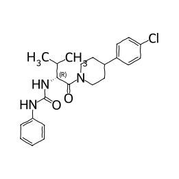 CC(C)[C@@H](NC(=O)Nc1ccccc1)C(=O)N1CCC(c2ccc(Cl)cc2)CC1